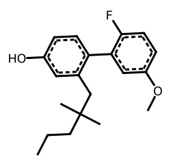 CCCC(C)(C)Cc1cc(O)ccc1-c1cc(OC)ccc1F